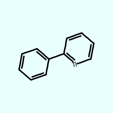 C1=[CH][Tl]=[C](c2ccccc2)C=C1